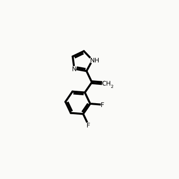 C=C(c1ncc[nH]1)c1cccc(F)c1F